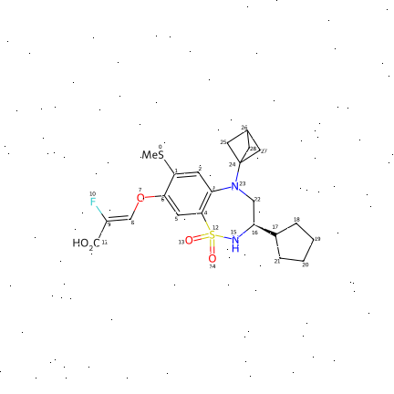 CSc1cc2c(cc1O/C=C(\F)C(=O)O)S(=O)(=O)N[C@H](C1CCCC1)CN2C12CC(C1)C2